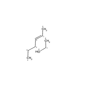 CC=CCCC.CCO